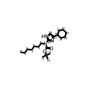 CCCCCCCN(C(=O)OC(C)(C)C)c1nc(C2CCCCC2)c[nH]1